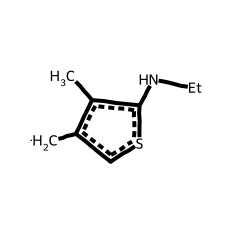 [CH2]c1csc(NCC)c1C